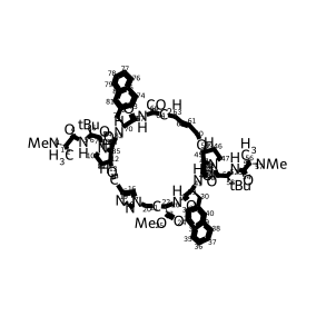 CN[C@@H](C)C(=O)N[C@H](C(=O)N1CC[C@H]2OCc3cn(nn3)CC[C@@H](C(=O)OC)NC(=O)[C@H](Cc3ccc4ccccc4c3)NC(=O)[C@@H]3[C@@H](CCN3C(=O)[C@@H](NC(=O)[C@H](C)NC)C(C)(C)C)OC/C=C/CC[C@@H](C(=O)O)NC(=O)[C@H](Cc3ccc4ccccc4c3)NC(=O)[C@H]21)C(C)(C)C